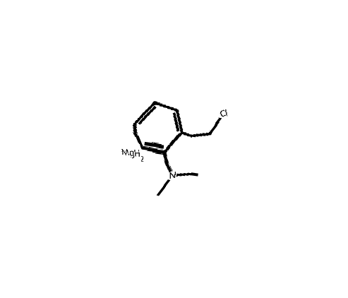 CN(C)c1ccccc1CCl.[MgH2]